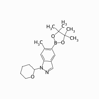 Cc1cc2c(cnn2C2CCCCO2)cc1B1OC(C)(C)C(C)(C)O1